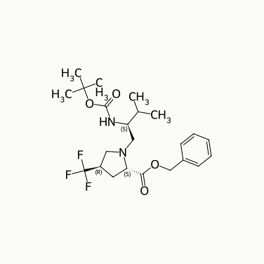 CC(C)[C@@H](CN1C[C@H](C(F)(F)F)C[C@H]1C(=O)OCc1ccccc1)NC(=O)OC(C)(C)C